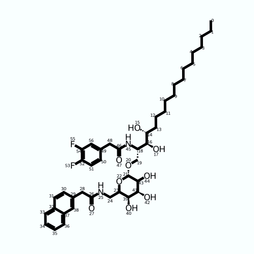 CCCCCCCCCCCCCC[C@@H](O)[C@@H](O)[C@H](CO[C@H]1OC(CNC(=O)Cc2ccc3ccccc3c2)[C@H](O)[C@H](O)C1O)NC(=O)Cc1ccc(F)c(F)c1